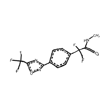 CNC(=O)C(F)(F)c1ccc(-c2noc(C(F)(F)F)n2)cc1